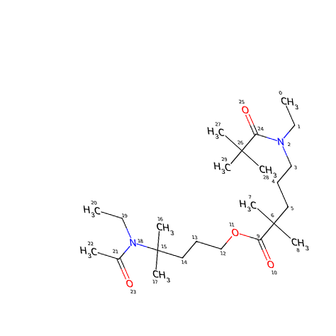 CCN(CCCC(C)(C)C(=O)OCCCC(C)(C)N(CC)C(C)=O)C(=O)C(C)(C)C